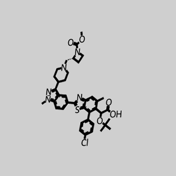 COC(=O)N1CC[C@@H]1CN1CCC(c2nn(C)c3ccc(-c4nc5cc(C)c(C(OC(C)(C)C)C(=O)O)c(-c6ccc(Cl)cc6)c5s4)cc23)CC1